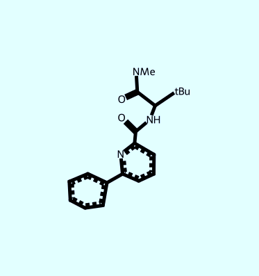 CNC(=O)C(NC(=O)c1cccc(-c2ccccc2)n1)C(C)(C)C